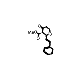 COC(=O)[C@H]1C(=O)CCOC1/C=C/c1ccccc1